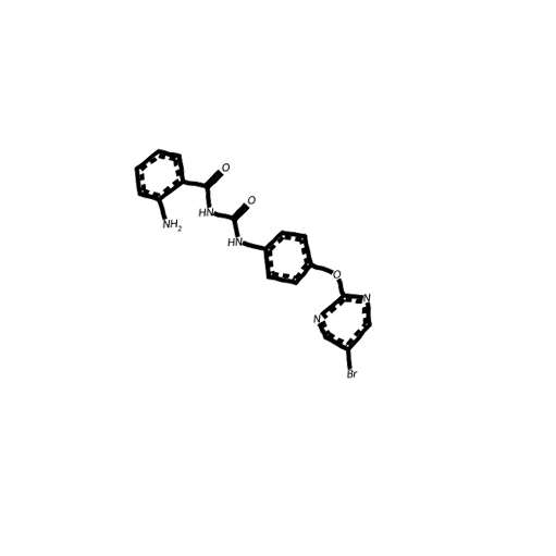 Nc1ccccc1C(=O)NC(=O)Nc1ccc(Oc2ncc(Br)cn2)cc1